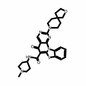 CN1CCC(NC(=O)c2c(=O)c3cnc(N4CCC5(CCOC5)CC4)nc3n3c2sc2ccccc23)CC1